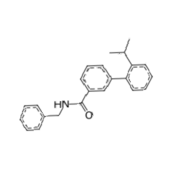 CC(C)c1ccccc1-c1cccc(C(=O)NCc2ccccc2)c1